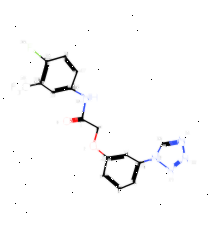 O=C(COc1cccc(-n2cnnn2)c1)Nc1ccc(F)c(C(F)(F)F)c1